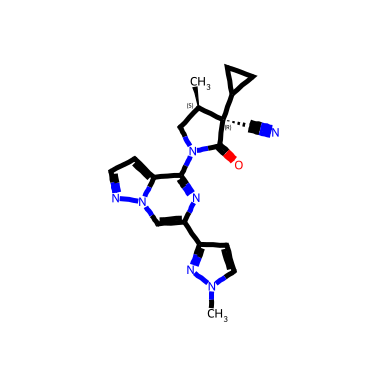 C[C@@H]1CN(c2nc(-c3ccn(C)n3)cn3nccc23)C(=O)[C@]1(C#N)C1CC1